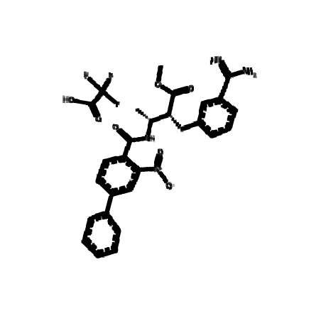 COC(=O)[C@H](Cc1cccc(C(=N)N)c1)[C@@H](C)NC(=O)c1ccc(-c2ccccc2)cc1[N+](=O)[O-].O=C(O)C(F)(F)F